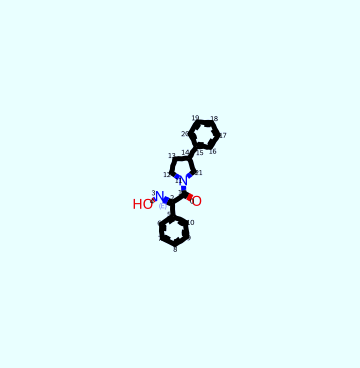 O=C(/C(=N/O)c1ccccc1)N1CCC(c2ccccc2)C1